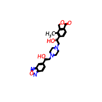 Cc1c([C@@H](O)CN2CCN(C[C@H](O)c3ccc4nonc4c3)CC2)ccc2c1COC2=O